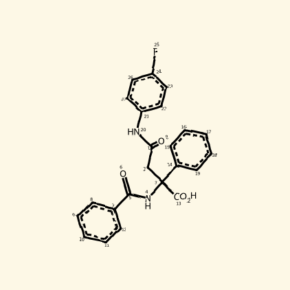 O=C(CC(NC(=O)c1ccccc1)(C(=O)O)c1ccccc1)Nc1ccc(F)cc1